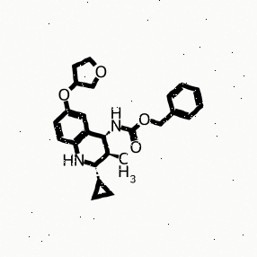 C[C@@H]1[C@@H](NC(=O)OCc2ccccc2)c2cc(OC3CCOC3)ccc2N[C@H]1C1CC1